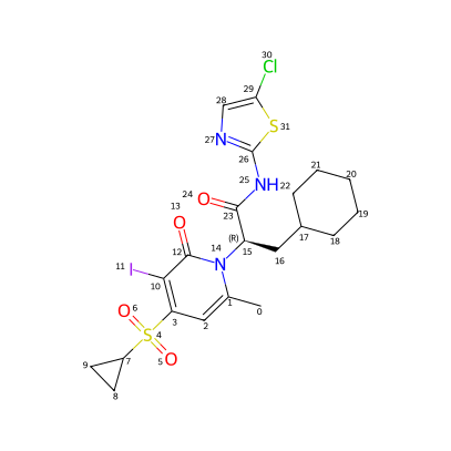 Cc1cc(S(=O)(=O)C2CC2)c(I)c(=O)n1[C@H](CC1CCCCC1)C(=O)Nc1ncc(Cl)s1